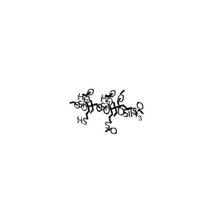 CCOCC(CCCSC(C)=O)(O[SiH3])C(CC)(COC(C)=O)C(C)(CCCSC(C)=O)O[SiH2]OCC(CC)(COC(C)=O)C(C)(CCCS)O[SiH2]OCC